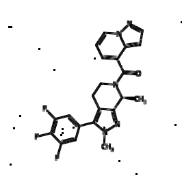 C[C@H]1c2nn(C)c(-c3cc(F)c(F)c(F)c3)c2CCN1C(=O)c1cccn2nccc12